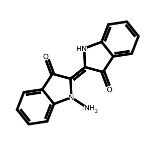 NN1/C(=C2/Nc3ccccc3C2=O)C(=O)c2ccccc21